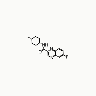 C[C@H]1CC[C@H](NC(=O)c2cnc3cc(F)ccc3n2)CC1